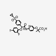 CC(C)(Oc1ccc(NC(=O)C(Oc2ccc(F)cc2F)c2ccc(S(=O)(=O)C3CC3)cc2)nc1)C(=O)O